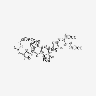 CCCCCCCCCCCCC(C)Cc1csc(-c2cc3c(cc(-c4cc(CC(CCCCCCCCCC)CCCCCCCCCCCC)cs4)c4nsnc43)c3nsnc23)c1